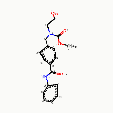 CCCCCCOC(=O)N(CCO)Cc1ccc(C(=O)Nc2ccccc2)cc1